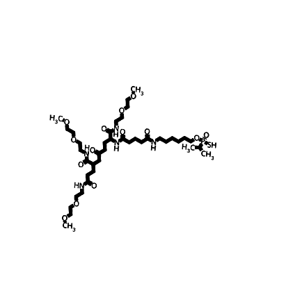 COCCOCCNC(=O)CCC(CC(=O)CCC(NC(=O)CCCC(=O)NCCCCCCOP(=O)(S)C(C)C)C(=O)NCCOCCOC)C(=O)NCCOCCOC